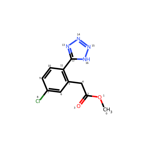 COC(=O)Cc1cc(Cl)ccc1-c1nnn[nH]1